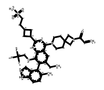 C=CC(=O)N1CC2(CCN(c3nc(C4CC(CCS(C)(=O)=O)C4)nc4c(OCC(F)(F)F)c(-c5c(C)ccc6[nH]ncc56)c(CC)cc34)CC2)C1